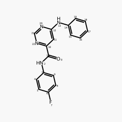 O=C(Nc1ccc(F)cc1)c1cc(Nc2ccccc2)ncn1